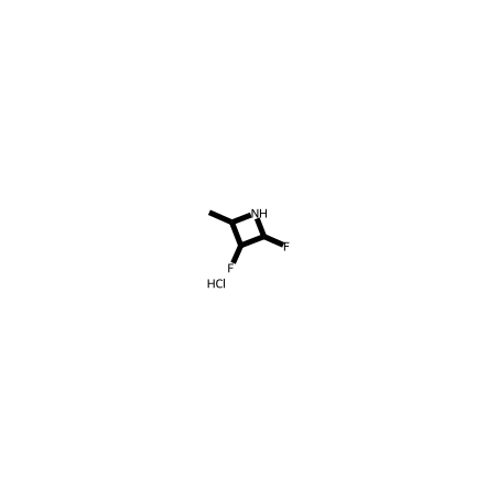 CC1NC(F)C1F.Cl